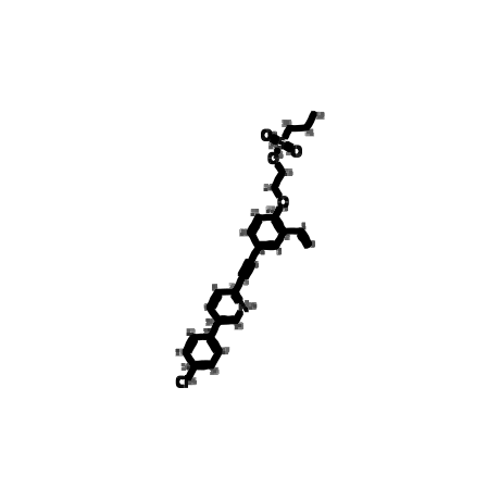 C=Cc1cc(C#Cc2ccc(-c3ccc(Cl)cc3)cn2)ccc1OCCOS(=O)(=O)CCC